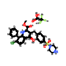 COC(=O)c1[nH]c2c(-c3ccccc3)c(Cl)ccc2c(=O)c1Cc1ccc(S(=O)(=O)N2CCNCC2)cc1.O=C(O)C(F)(F)F